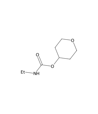 CCNC(=O)OC1CCOCC1